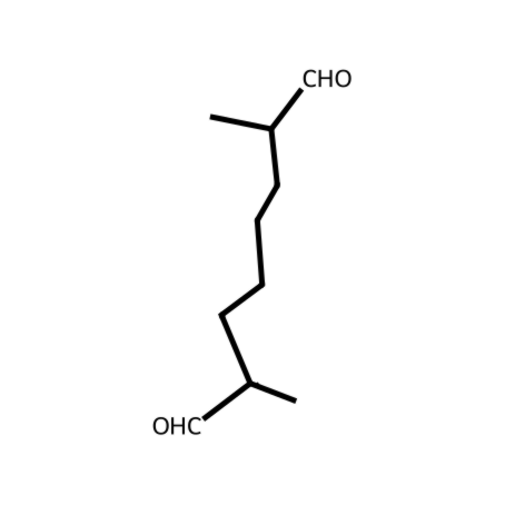 C[C](C=O)CCCCC(C)C=O